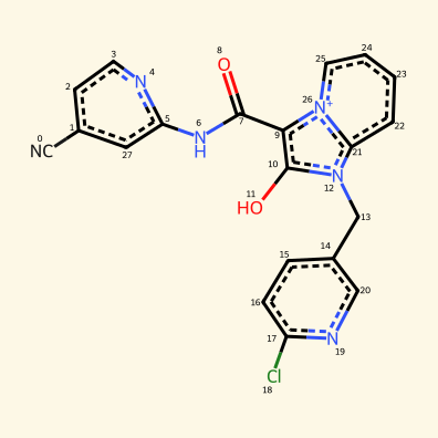 N#Cc1ccnc(NC(=O)c2c(O)n(Cc3ccc(Cl)nc3)c3cccc[n+]23)c1